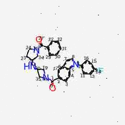 O=C(c1ccc2c(ccn2-c2ccc(F)cc2)c1)N1CC(N[C@H]2CCN(C(=O)c3ccccc3)C2)C1